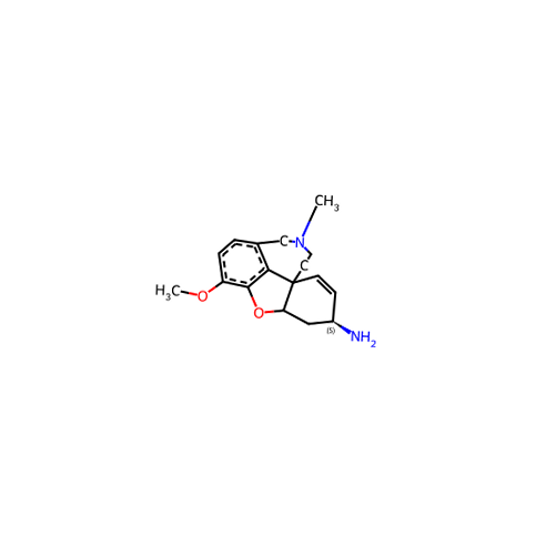 COc1ccc2c3c1OC1C[C@H](N)C=CC31CCN(C)C2